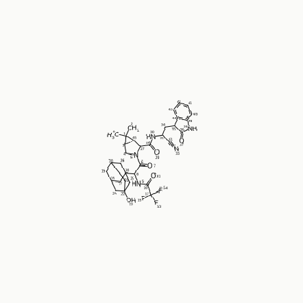 CC1(C)C2CN(C(=O)C(NC(=O)C(F)(F)F)C34CC5CC(CC(O)(C5)C3)C4)C(C(=O)NC(C#N)CC3C(=O)Nc4ccccc43)C21